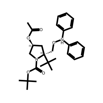 CC(=O)O[C@@H]1CN(C(=O)OC(C)(C)C)[C@](CO[SiH](c2ccccc2)c2ccccc2)(C(C)(C)C)C1